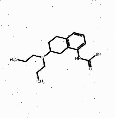 CCCN(CCC)C1CCc2cccc(NC(=O)S)c2C1